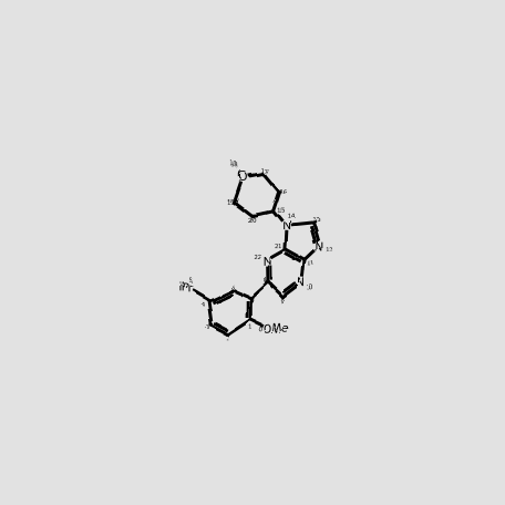 COc1ccc(C(C)C)cc1-c1cnc2ncn(C3CCOCC3)c2n1